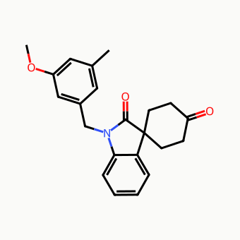 COc1cc(C)cc(CN2C(=O)C3(CCC(=O)CC3)c3ccccc32)c1